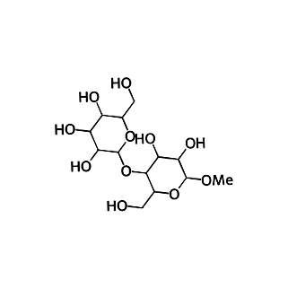 COC1OC(CO)C(OC2OC(CO)C(O)C(O)C2O)C(O)C1O